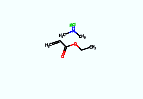 C=CC(=O)OCC.CNC.Cl